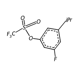 CC(C)c1cc(F)cc(OS(=O)(=O)C(F)(F)F)c1